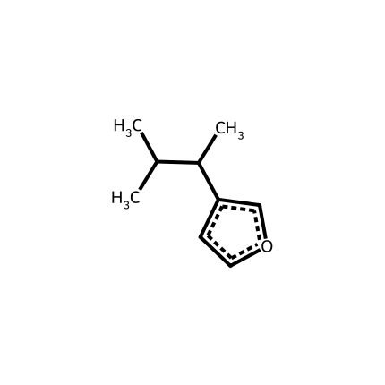 CC(C)C(C)c1ccoc1